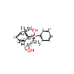 O[SiH2][SiH2][Si](O[SiH3])(c1ccccc1)c1ccccc1